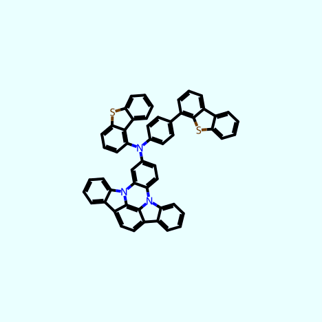 c1ccc2c(c1)sc1c(-c3ccc(N(c4ccc5c(c4)n4c6ccccc6c6ccc7c8ccccc8n5c7c64)c4cccc5sc6ccccc6c45)cc3)cccc12